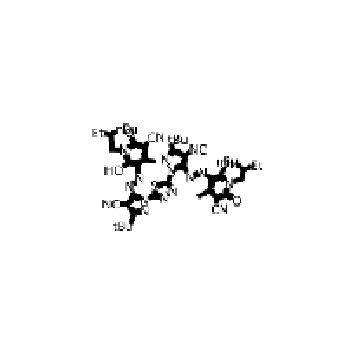 [C-]#[N+]c1c(C(C)(C)C)nn(-c2nnc(-n3nc(C(C)(C)C)c(C#N)c3N=Nc3c(C)c(C#N)c(=O)n(CC(CC)CCCC)c3O)s2)c1N=Nc1c(C)c(C#N)c(=O)n(CC(CC)CCCC)c1O